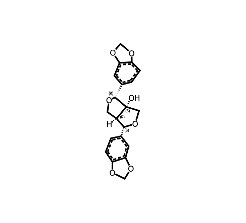 O[C@]12CO[C@H](c3ccc4c(c3)OCO4)[C@H]1CO[C@@H]2c1ccc2c(c1)OCO2